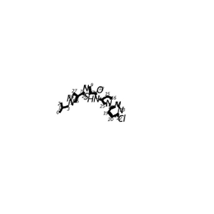 CC(C)Cn1cc(-c2ncc(C(=O)NC3CCN(c4ccc(Cl)nn4)C3)s2)cn1